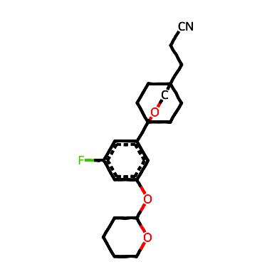 N#CCCC12CCC(c3cc(F)cc(OC4CCCCO4)c3)(CC1)OC2